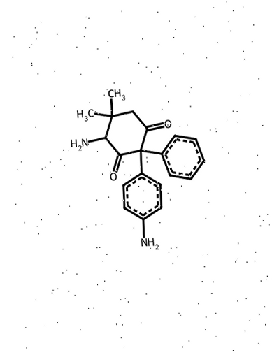 CC1(C)CC(=O)C(c2ccccc2)(c2ccc(N)cc2)C(=O)C1N